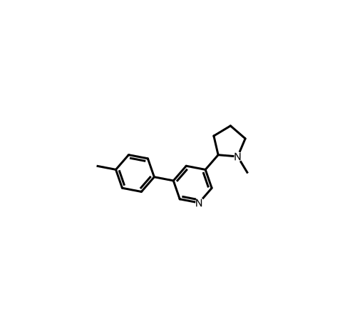 Cc1ccc(-c2cncc(C3CCCN3C)c2)cc1